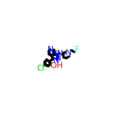 Oc1cc(Cl)ccc1-c1nnc(N[C@@H]2CCCN(CCF)C2)c2cnccc12